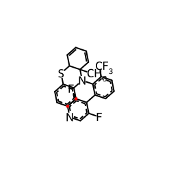 CC12C=CC=CC1Sc1ccccc1N2c1c(-c2c(F)cncc2F)cccc1C(F)(F)F